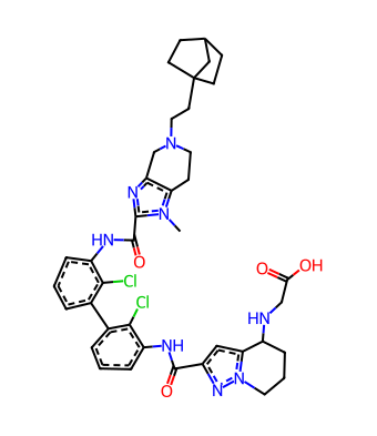 Cn1c(C(=O)Nc2cccc(-c3cccc(NC(=O)c4cc5n(n4)CCCC5NCC(=O)O)c3Cl)c2Cl)nc2c1CCN(CCC13CCC(CC1)C3)C2